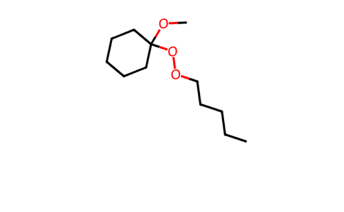 CCCCCOOC1(OC)CCCCC1